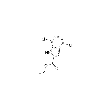 CCOC(=O)c1cc2c(Cl)ccc(Cl)c2[nH]1